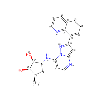 [CH2][C@@H]1C[C@@H](Nc2ccnc3cc(-c4cccc5cccnc45)nn23)[C@H](O)[C@@H]1O